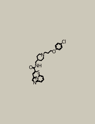 O=C(NCC1CCN(CCCOc2ccc(Cl)cc2)CC1)C1=Cc2cnc3cccc(n23)S1